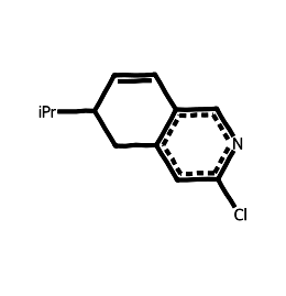 CC(C)C1C=Cc2cnc(Cl)cc2C1